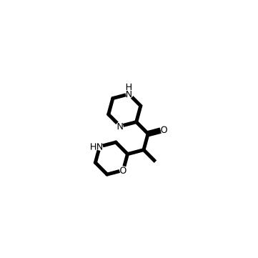 CC(C(=O)C1CNCC[N]1)C1CNCCO1